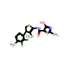 Cc1nc(O)c(C(=O)NC2=C(C(=O)O)C(c3ccc(C)c(F)c3F)CS2)s1